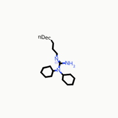 CCCCCCCCCCCCC/N=C(\N)N(C1CCCCC1)C1CCCCC1